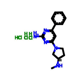 CN[C@@H]1CCN(c2cc(-c3ccccc3)nc(N)n2)C1.Cl.Cl.Cl